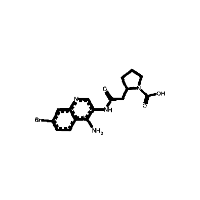 Nc1c(NC(=O)CC2CCCN2C(=O)O)cnc2cc(Br)ccc12